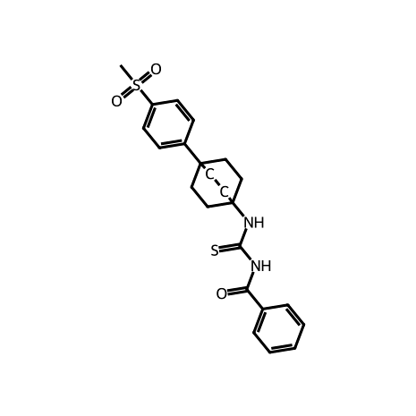 CS(=O)(=O)c1ccc(C23CCC(NC(=S)NC(=O)c4ccccc4)(CC2)CC3)cc1